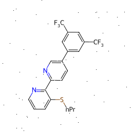 CCCSc1cccnc1-c1ccc(-c2cc(C(F)(F)F)cc(C(F)(F)F)c2)cn1